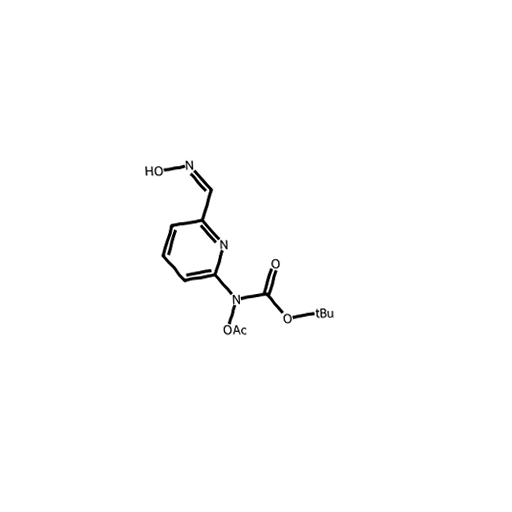 CC(=O)ON(C(=O)OC(C)(C)C)c1cccc(/C=N\O)n1